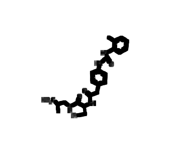 Cc1ccccc1NC(=O)Nc1ccc(CC(=O)N[C@@H](CC(C)C)C(=O)NCC(C)C(=O)O)cc1